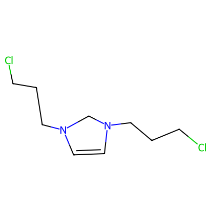 ClCCCN1C=CN(CCCCl)C1